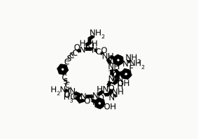 C[C@@]12CCCN1C(=O)[C@H](Cc1ccc(O)cc1)NC(=O)[C@H](Cc1c[nH]cn1)NC(=O)[C@H](CC(=O)O)NC(=O)[C@H](Cc1c[nH]c3ccc(F)cc13)NC(=O)[C@H](Cc1ccc(N=C(N)N)cc1)NC(=O)CNC(=O)[C@H](CCCCN)NC(=O)CCSCc1cccc(c1)CSC[C@@H](C(N)=O)NC2=O